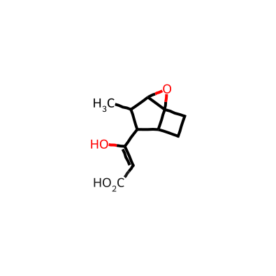 CC1C(/C(O)=C/C(=O)O)C2CCC23OC13